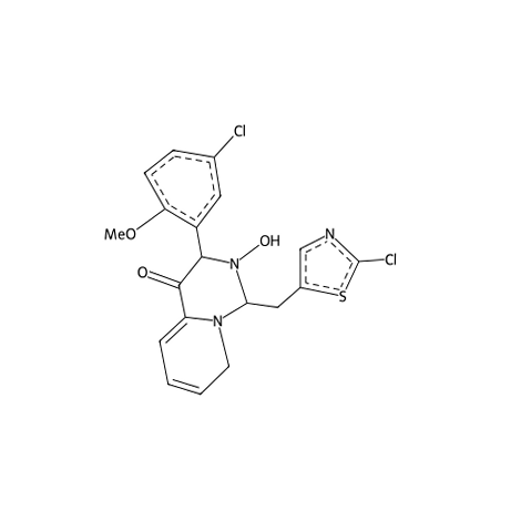 COc1ccc(Cl)cc1C1C(=O)C2=CC=CCN2C(Cc2cnc(Cl)s2)N1O